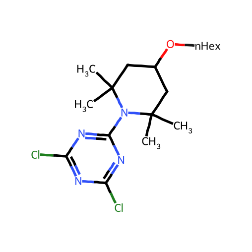 CCCCCCOC1CC(C)(C)N(c2nc(Cl)nc(Cl)n2)C(C)(C)C1